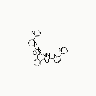 c1ccc(-c2cccc(-c3nnc(-c4ccccc4-c4nnc(-c5cccc(-c6ccccn6)n5)o4)o3)n2)nc1